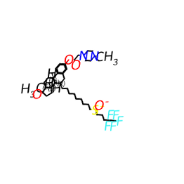 CN1CCN(CC(=O)Oc2ccc3c(c2)C[C@@H](CCCCCCCCC[S+]([O-])CCCC(F)(F)C(F)(F)F)[C@@H]2[C@@H]3CC[C@]3(C)C(=O)CC[C@@H]23)CC1